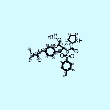 Cc1ccc(S(=O)(=O)N(C(=O)[C@@H]2CCCN2)[C@@](C)(Cc2ccc(OC(=O)N(C)C)cc2)C(=O)OC(C)(C)C)cc1